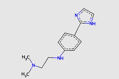 CN(C)CCNc1ccc(-c2ncc[nH]2)cc1